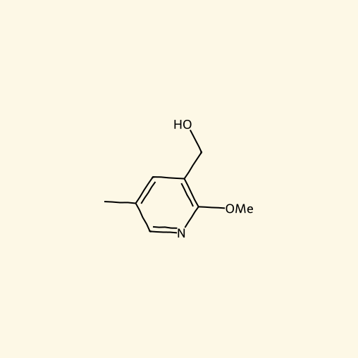 COc1ncc(C)cc1CO